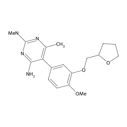 CNc1nc(C)c(-c2ccc(OC)c(OCC3CCCO3)c2)c(N)n1